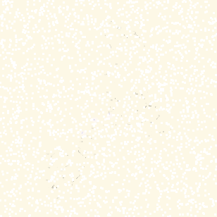 Cc1cc(S(=O)(=O)O)cc2c3c(ccc12)N(CCCCCC(=O)ON1C(=O)CCC1=O)/C(=C/C=C/C=C/C1=[N+](C)c2ccc(N(C)C)c4cccc1c24)C3(C)C